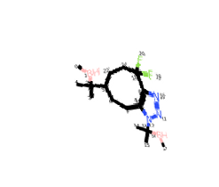 CBC(C)(C)C1CCc2c(nnn2C(C)(C)BC)C(F)(F)CC1